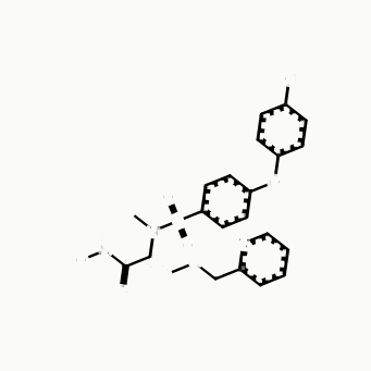 CN([C@H](CSCc1ccccn1)C(=O)NO)S(=O)(=O)c1ccc(Oc2ccc(Cl)cc2)cc1